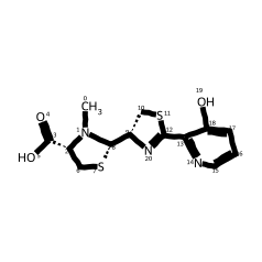 CN1[C@@H](C(=O)O)CS[C@H]1[C@@H]1CSC(c2ncccc2O)=N1